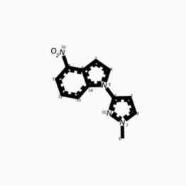 Cn1ccc(-n2ccc3c([N+](=O)[O-])cccc32)n1